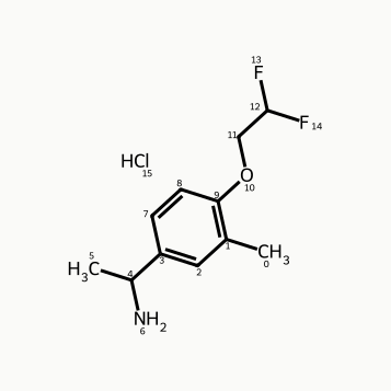 Cc1cc(C(C)N)ccc1OCC(F)F.Cl